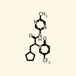 Cc1cnc(NC(=O)C(CC2CCCC2)n2cc(C(F)(F)F)ccc2=O)cn1